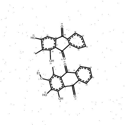 CCOc1c(C)c2c(c(O)c1O)C(=O)c1ccccc1C2=O.Cc1c(O)cc2c(c1O)C(=O)c1ccccc1C2=O